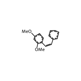 COc1ccc(/C=C\c2ccccc2)c(OC)c1